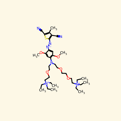 CC[N+](CC)(CC)CCOCCOCCN(CCOCC[N+](CC)(CC)CC)c1cc(OC)c(/N=N/c2sc(C#N)c(C)c2C#N)cc1OC